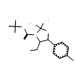 CC(C)(C)OC(=O)N1C(CF)C(c2ccc(I)cc2)OC1(C)C